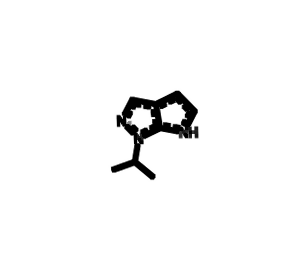 CC(C)n1ncc2cc[nH]c21